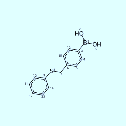 OB(O)c1ccc(CSc2ccccc2)cc1